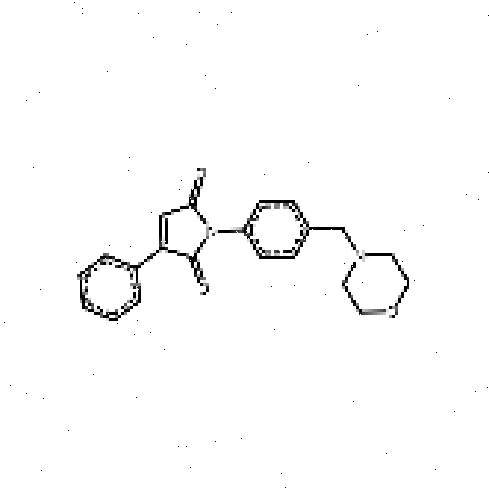 O=C1C=C(c2ccccc2)C(=O)N1c1ccc(CN2CCOCC2)cc1